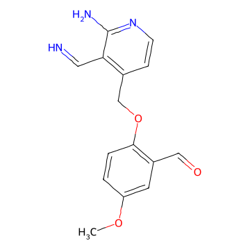 COc1ccc(OCc2ccnc(N)c2C=N)c(C=O)c1